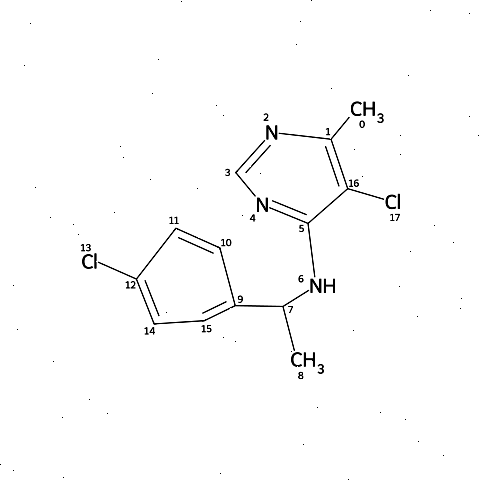 Cc1ncnc(NC(C)c2ccc(Cl)cc2)c1Cl